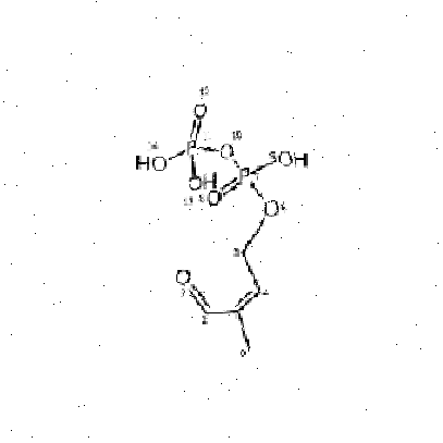 CC(C=O)=CCOP(=O)(O)OP(=O)(O)O